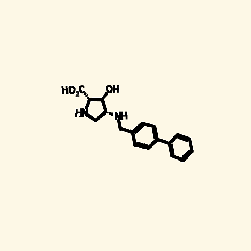 O=C(O)[C@H]1NC[C@@H](NCc2ccc(-c3ccccc3)cc2)[C@@H]1O